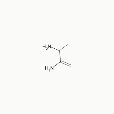 C=C(N)C(N)I